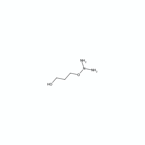 NN(N)OCCCO